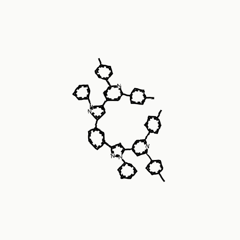 Cc1ccc(-c2cc(-c3cc(-c4cccc(-c5cc(-c6cc(-c7ccc(C)cc7)nc(-c7ccc(C)cc7)c6)n(-c6ccccc6)n5)c4)nn3-c3ccccc3)cc(-c3ccc(C)cc3)n2)cc1